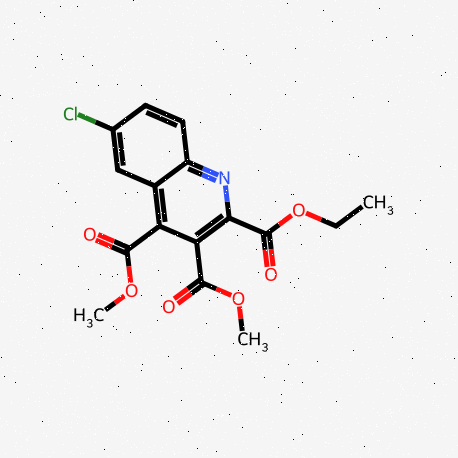 CCOC(=O)c1nc2ccc(Cl)cc2c(C(=O)OC)c1C(=O)OC